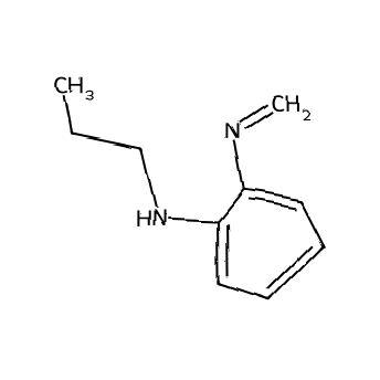 C=Nc1ccccc1NCCC